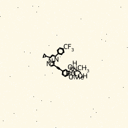 COc1ccc(C#Cc2cnn3c(C4CC4)cc(-c4ccc(C(F)(F)F)cc4)nc23)cc1S(=O)(=O)NC(C)(C)CO